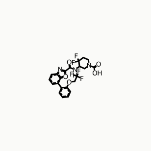 O=C(NC1CN(C(=O)O)CCC1(F)F)c1nc2cccc(-c3ccccc3OCC(F)(F)F)c2o1